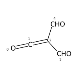 O=C=C(C=O)C=O